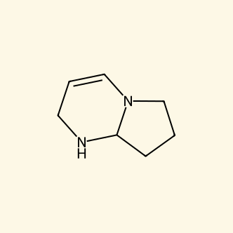 C1=CN2CCCC2NC1